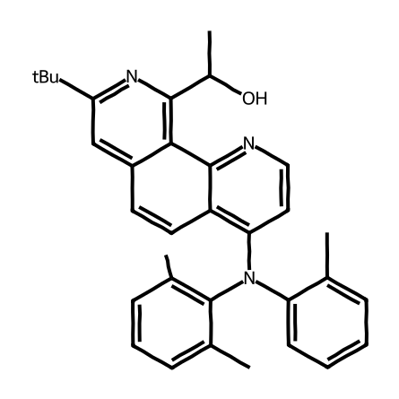 Cc1ccccc1N(c1c(C)cccc1C)c1ccnc2c1ccc1cc(C(C)(C)C)nc(C(C)O)c12